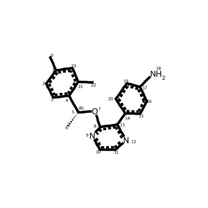 Cc1ccc([C@@H](C)Oc2nccnc2-c2ccc(N)cc2)c(C)c1